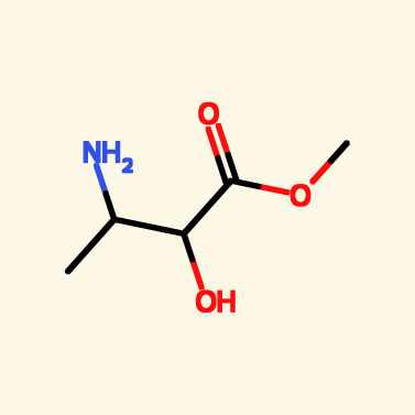 COC(=O)C(O)C(C)N